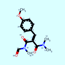 COc1ccc(/C=C(/C(=O)N(C)C)C(=O)N(C)C=O)cc1